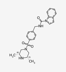 C[C@@H]1CN(S(=O)(=O)c2ccc(CNC(=O)n3ccc4ccccc43)cc2)C[C@H](C)N1